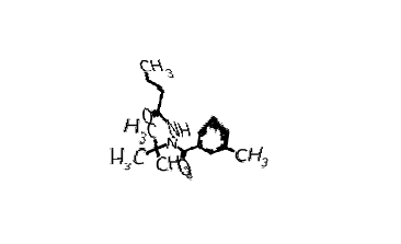 CCCC(=O)NN(C(=O)c1cccc(C)c1)C(C)(C)C